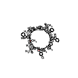 CCCCCCCCN(C)C(=O)[C@@H]1CC(=O)N[C@@H](O)C(=O)N[C@@H](CCS(C)(=O)=O)C(=O)N(C)[C@@H](Cc2ccccc2)C(=O)N[C@@H](Cc2c[nH]c3ccccc23)C(=O)N2CCC[C@H]2C(=O)N(C)CC(=O)N(C)[C@@H](Cc2ccc(Cl)cc2)C(=O)N[C@@H](CCS(C)(=O)=O)C(=O)N(C)[C@H]2C(=O)N(C2C)[C@@H](Cc2c[nH]c3ccccc23)C(=O)C1